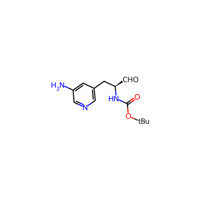 CC(C)(C)OC(=O)N[C@H](C=O)Cc1cncc(N)c1